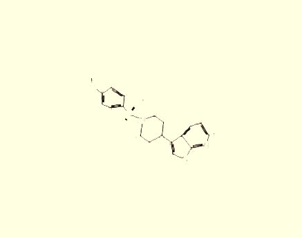 CC(C)Oc1ccc(S(=O)(=O)N2CCC(c3c[nH]c4ncccc34)CC2)cc1